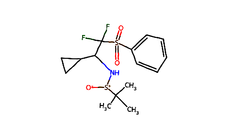 CC(C)(C)[S+]([O-])NC(C1CC1)C(F)(F)S(=O)(=O)c1ccccc1